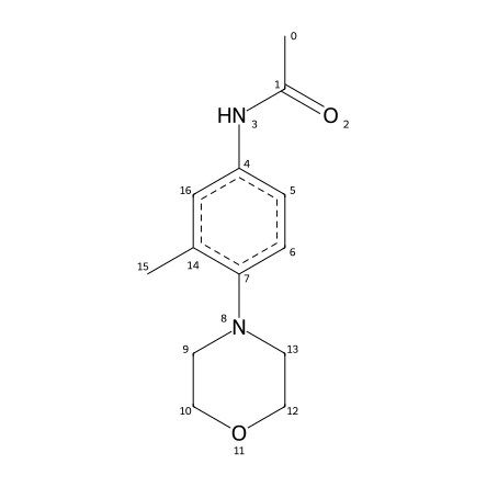 CC(=O)Nc1ccc(N2CCOCC2)c(C)c1